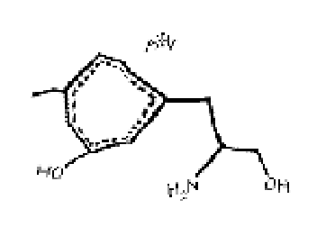 Br.Cc1ccc(CC(N)CO)cc1O